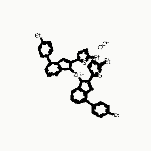 CCc1ccc(-c2cccc3c2C=C(c2ccc(CC)s2)[CH]3[Zr+2][CH]2C(c3ccc(CC)s3)=Cc3c(-c4ccc(CC)cc4)cccc32)cc1.[Cl-].[Cl-]